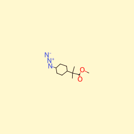 COC(=O)C(C)(C)C1CCC(N=[N+]=[N-])CC1